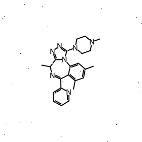 Cc1cc(C)c2c(c1)-n1c(nnc1N1CCN(C)CC1)C(C)N=C2c1ccccn1